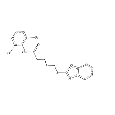 CC(C)c1cccc(C(C)C)c1NC(=O)CCCCSc1nc2ccccc2o1